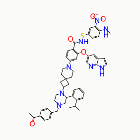 CNc1ccc(SNC(=O)c2ccc(N3CCC4(CC3)CC(N3CCN(Cc5ccc(C(C)=O)cc5)CC3c3ccccc3C(C)C)C4)cc2Oc2cnc3[nH]ccc3c2)cc1[N+](=O)[O-]